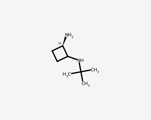 CC(C)(C)NC1CC[C@H]1N